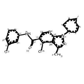 Cc1nn(-c2ccccc2)c2ncc(C(=O)Nc3cccc(Cl)c3)c(Cl)c12